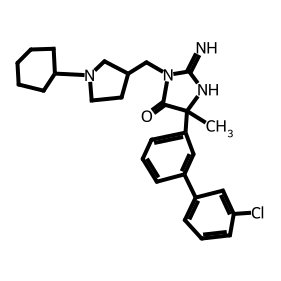 CC1(c2cccc(-c3cccc(Cl)c3)c2)NC(=N)N(CC2CCN(C3CCCCC3)C2)C1=O